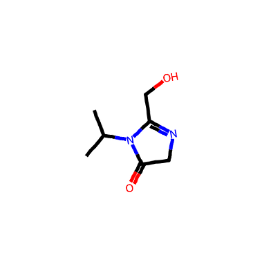 CC(C)N1C(=O)CN=C1CO